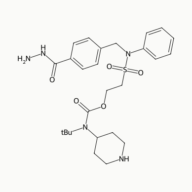 CC(C)(C)N(C(=O)OCCS(=O)(=O)N(Cc1ccc(C(=O)NN)cc1)c1ccccc1)C1CCNCC1